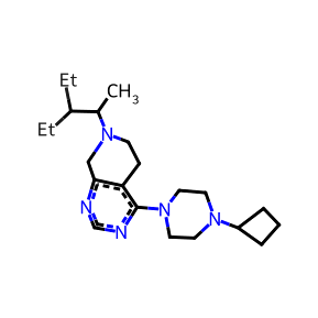 CCC(CC)C(C)N1CCc2c(ncnc2N2CCN(C3CCC3)CC2)C1